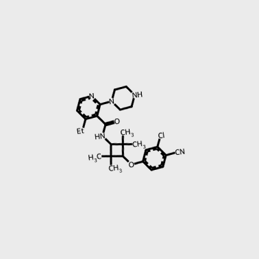 CCc1ccnc(N2CCNCC2)c1C(=O)NC1C(C)(C)C(Oc2ccc(C#N)c(Cl)c2)C1(C)C